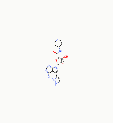 Cn1ccc(-c2cn([C@@H]3O[C@H](C(=O)NC4CCNCC4)[C@@H](O)[C@H]3O)c3ncnc(N)c23)n1